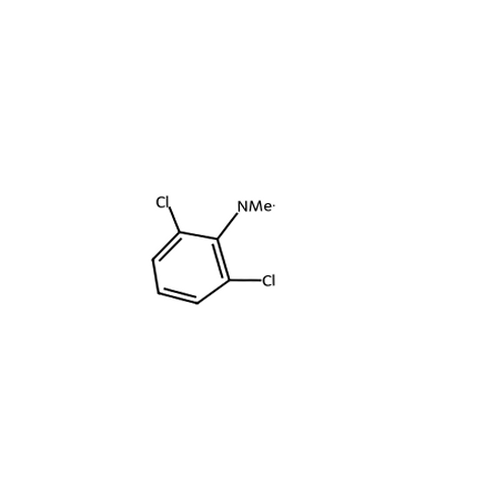 C[N]c1c(Cl)cccc1Cl